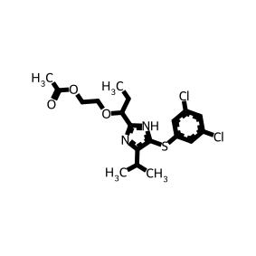 CCC(OCCOC(C)=O)c1nc(C(C)C)c(Sc2cc(Cl)cc(Cl)c2)[nH]1